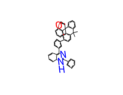 CC1(C)c2ccccc2C2(c3ccccc3Oc3ccccc32)c2cc(-c3cccc(C4=C5C=CC=CC5NC(c5ccccc5)=N4)c3)ccc21